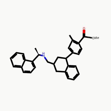 COC(=O)c1ccc(C2CC(CN[C@H](C)c3cccc4ccccc34)Cc3ccccc32)cc1C